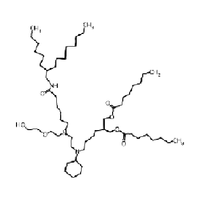 CCCCCCCCC(CCCCCC)CNC(=O)CCCCCN(CCOCCO)CCN(CCCCC(COC(=O)CCCCCCC)COC(=O)CCCCCCC)C1CCCCC1